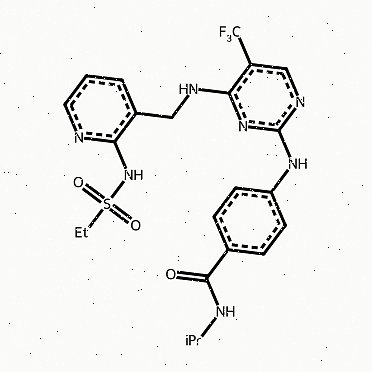 CCS(=O)(=O)Nc1ncccc1CNc1nc(Nc2ccc(C(=O)NC(C)C)cc2)ncc1C(F)(F)F